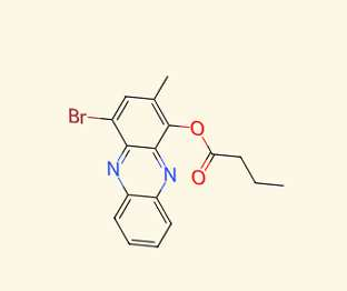 CCCC(=O)Oc1c(C)cc(Br)c2nc3ccccc3nc12